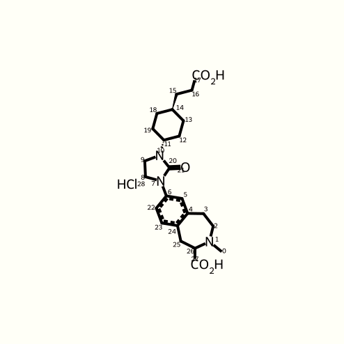 CN1CCc2cc(N3CCN([C@H]4CC[C@H](CCC(=O)O)CC4)C3=O)ccc2CC1C(=O)O.Cl